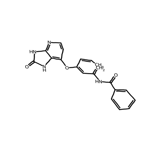 C=C(/C=C(\C=C/C)Oc1ccnc2[nH]c(=O)[nH]c12)NC(=O)c1ccccc1